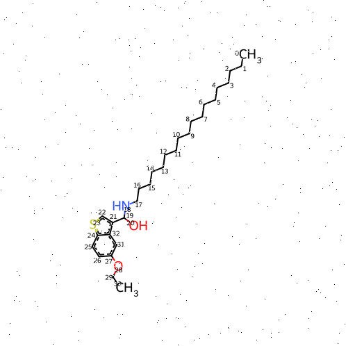 CCCCCCCCCCCCCCCCCCNC(O)c1csc2ccc(OCC)cc12